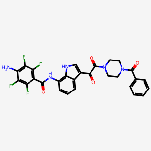 Nc1c(F)c(F)c(C(=O)Nc2cccc3c(C(=O)C(=O)N4CCN(C(=O)c5ccccc5)CC4)c[nH]c23)c(F)c1F